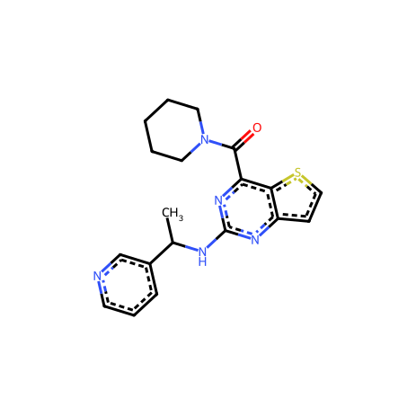 CC(Nc1nc(C(=O)N2CCCCC2)c2sccc2n1)c1cccnc1